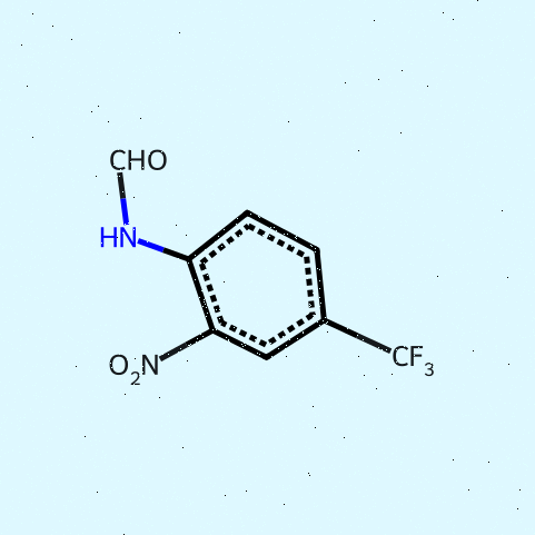 O=CNc1ccc(C(F)(F)F)cc1[N+](=O)[O-]